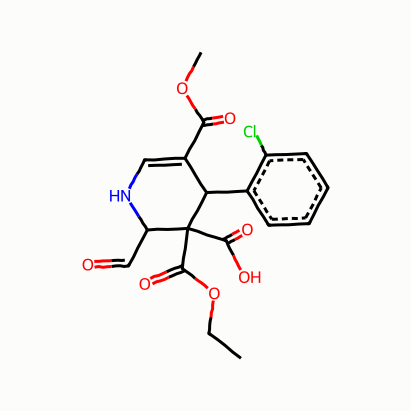 CCOC(=O)C1(C(=O)O)C(C=O)NC=C(C(=O)OC)C1c1ccccc1Cl